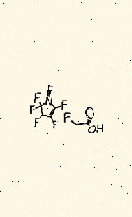 FC1=C(F)N(F)C(F)(F)C1F.O=C(O)CF